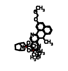 COCOc1cc2c3c(cccc3c1)C(C)c1c-2ncc2c(N3CC4CCC(C3)N4C(=O)OC(C)(C)C)nc(OC)nc12